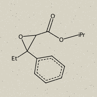 CCC1(c2ccccc2)OC1C(=O)OC(C)C